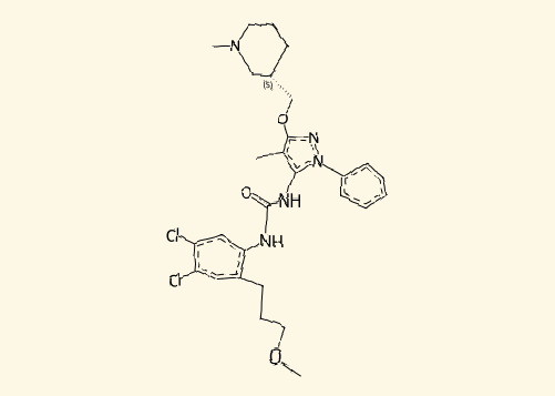 COCCCc1cc(Cl)c(Cl)cc1NC(=O)Nc1c(C)c(OC[C@H]2CCCN(C)C2)nn1-c1ccccc1